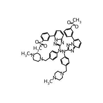 CN1CCN(Cc2ccc(N(c3nc4cccc(-c5cccc(S(C)(=O)=O)c5)n4n3)N(c3ccc(CN4CCN(C)CC4)cc3)c3nc4cccc(-c5cccc(S(C)(=O)=O)c5)n4n3)cc2)CC1